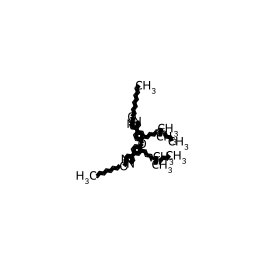 CCCCCCCCCOc1ncc(-c2ccc(Oc3ccc(-c4cnc(OCCCCCCCCC)nc4)cc3CCCC[Si](C)(C)CCCC)c(CCCC[Si](C)(C)CCCC)c2)cn1